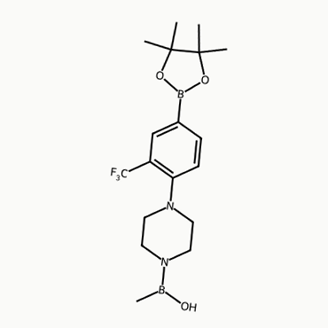 CB(O)N1CCN(c2ccc(B3OC(C)(C)C(C)(C)O3)cc2C(F)(F)F)CC1